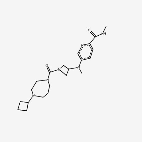 CNC(=O)c1ccc(N(C)C2CN(C(=O)N3CCCN(C4CCC4)CC3)C2)cn1